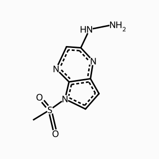 CS(=O)(=O)n1ccc2nc(NN)cnc21